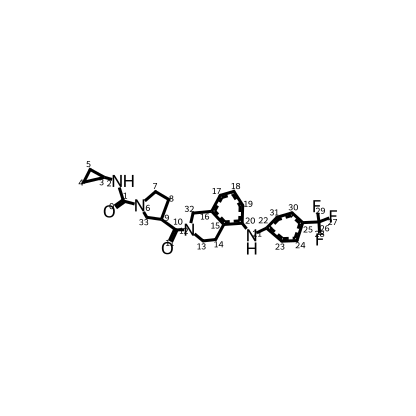 O=C(NC1CC1)N1CCC(C(=O)N2CCc3c(cccc3Nc3ccc(C(F)(F)F)cc3)C2)C1